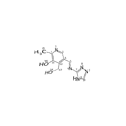 Cc1ncc(/C=N/c2nnc[nH]2)c(CO)c1O